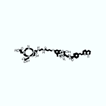 Cc1cc(OCCCC(=O)NCCNC(=O)C[N@+]2(CC(=O)O)CCNCCN(CC(=O)O)CCN(CC(=O)O)CC2)cc(C)c1S(=O)(=O)NC(CNC(=O)c1ccc(CCc2ccc3c(n2)NCCC3)cc1)C(=O)O